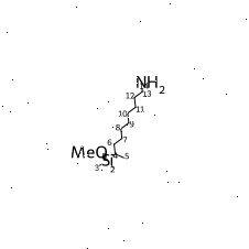 CO[Si](C)(C)C(C)CCCCCCCCN